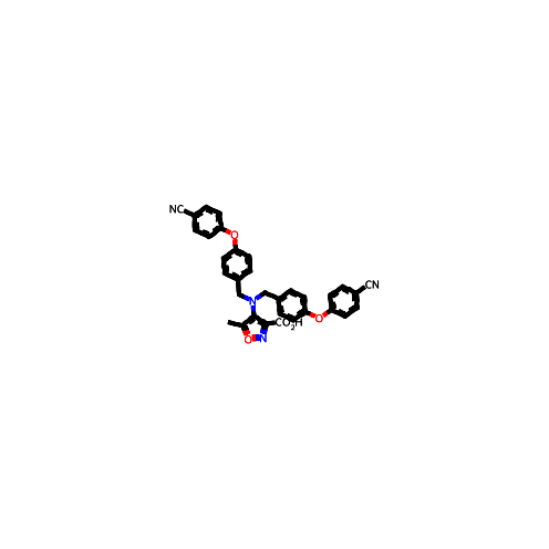 Cc1onc(C(=O)O)c1N(Cc1ccc(Oc2ccc(C#N)cc2)cc1)Cc1ccc(Oc2ccc(C#N)cc2)cc1